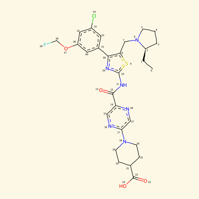 CC[C@@H]1CCCN1Cc1sc(NC(=O)c2cnc(N3CCC(C(=O)O)CC3)cn2)nc1-c1cc(Cl)cc(OCF)c1